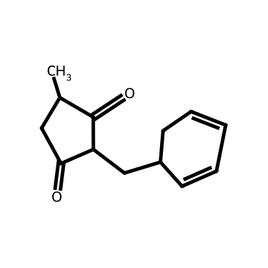 CC1CC(=O)C(CC2C=CC=CC2)C1=O